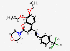 CCOc1ccc(C(=C\C(=O)N2CCOCC2)/C=C/c2ccc(C(F)(F)F)cc2)cc1OCC